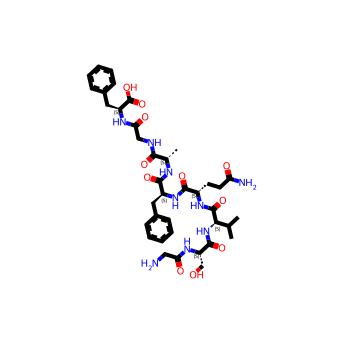 CC(C)[C@H](NC(=O)[C@H](CO)NC(=O)CN)C(=O)N[C@@H](CCC(N)=O)C(=O)N[C@@H](Cc1ccccc1)C(=O)N[C@@H](C)C(=O)NCC(=O)N[C@@H](Cc1ccccc1)C(=O)O